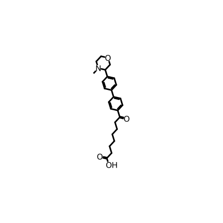 CN1CCOCC1c1ccc(-c2ccc(C(=O)CCCCCCC(=O)O)cc2)cc1